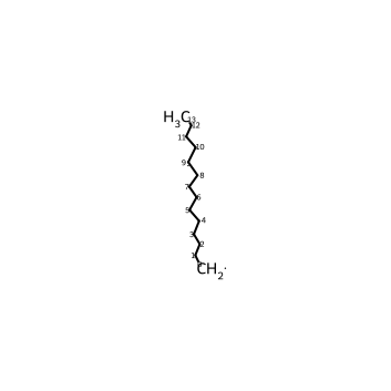 [CH2]CCCCCCCC[CH]CCCC